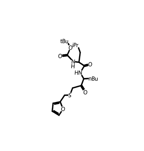 CCCCC(NC(=O)C(CC(C)C)NC(=O)OC(C)(C)C)C(=O)CSCc1ccco1